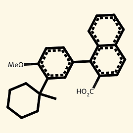 COc1ccc(-c2c(C(=O)O)ccc3ccccc23)cc1C1(C)CCCCC1